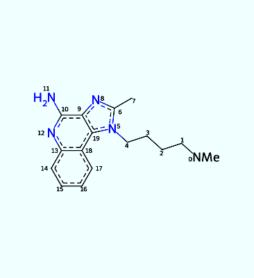 CNCCCCn1c(C)nc2c(N)nc3ccccc3c21